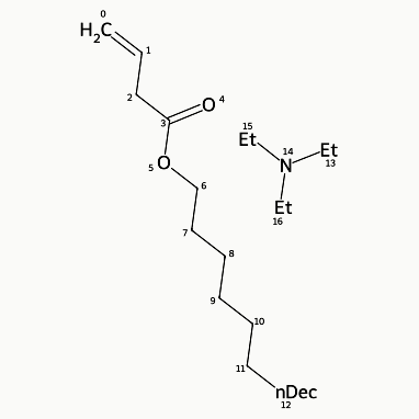 C=CCC(=O)OCCCCCCCCCCCCCCCC.CCN(CC)CC